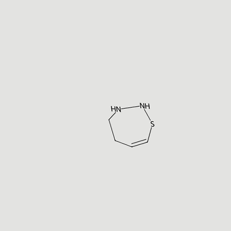 C1=CSNNCC1